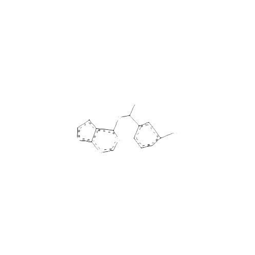 CC(Nc1ncnc2sccc12)c1cccc(Br)c1